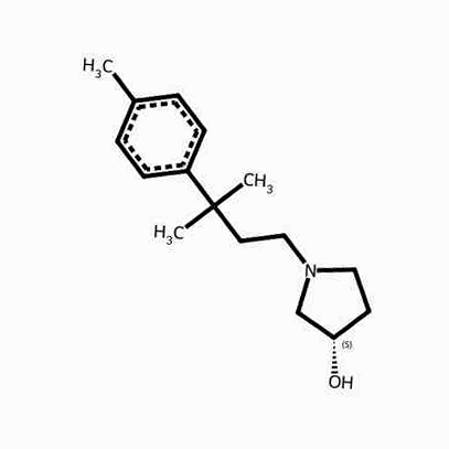 Cc1ccc(C(C)(C)CCN2CC[C@H](O)C2)cc1